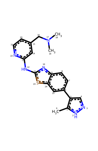 Cc1[nH]ncc1-c1ccc2nc(Nc3cc(CN(C)C)ccn3)sc2c1